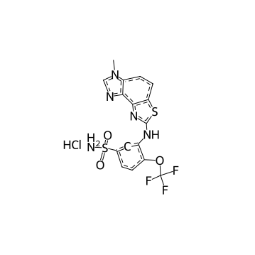 Cl.Cn1cnc2c3nc(Nc4cc(S(N)(=O)=O)ccc4OC(F)(F)F)sc3ccc21